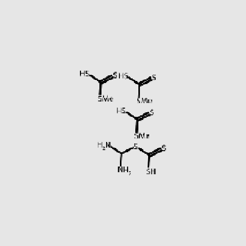 CSC(=S)S.CSC(=S)S.CSC(=S)S.NC(N)SC(=S)S